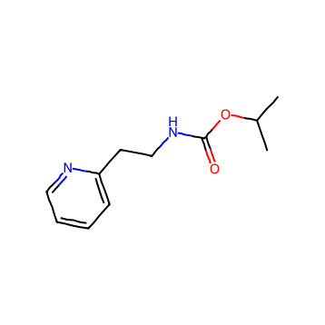 CC(C)OC(=O)NCCc1ccccn1